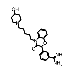 N=C(N)c1cccc(C2Oc3ccccc3N(CCCCCN3CCC(O)CC3)C2=O)c1